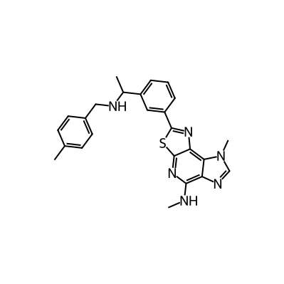 CNc1nc2sc(-c3cccc(C(C)NCc4ccc(C)cc4)c3)nc2c2c1ncn2C